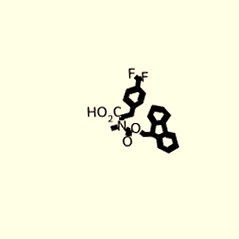 CN(C(=O)OCC1c2ccccc2-c2ccccc21)C(Cc1ccc(C(F)F)cc1)C(=O)O